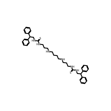 S=C(NCCCNCCCCNCCCNC(=S)NCC(c1ccccc1)c1ccccc1)NCC(c1ccccc1)c1ccccc1